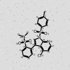 Cc1ccc(S(=O)(=O)n2cc(-c3ccccc3S(=O)(=O)N(C)C)c3c(Cl)ccnc32)cc1